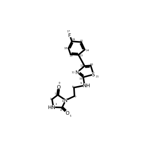 O=C1CNC(=O)N1CCNc1nc(-c2ccc(F)cc2)cs1